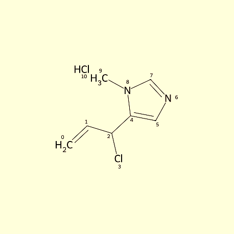 C=CC(Cl)c1cncn1C.Cl